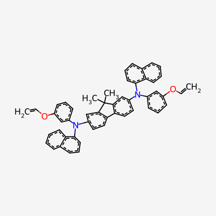 C=COc1cccc(N(c2ccc3c(c2)C(C)(C)c2cc(N(c4cccc(OC=C)c4)c4cccc5ccccc45)ccc2-3)c2cccc3ccccc23)c1